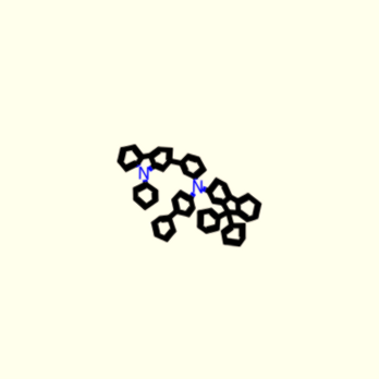 c1ccc(-c2ccc(N(c3cccc(-c4ccc5c6ccccc6n(-c6ccccc6)c5c4)c3)c3ccc4c(c3)C(c3ccccc3)(c3ccccc3)c3ccccc3-4)cc2)cc1